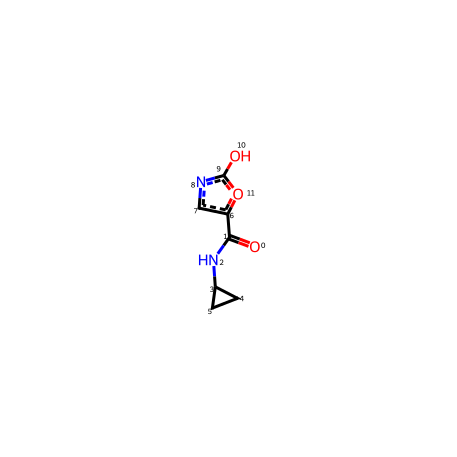 O=C(NC1CC1)c1cnc(O)o1